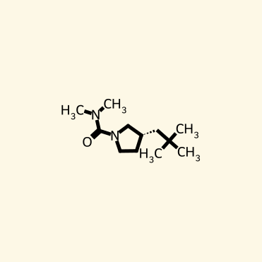 CN(C)C(=O)N1CC[C@@H](CC(C)(C)C)C1